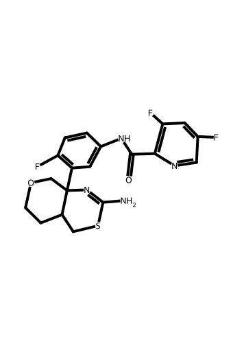 NC1=NC2(c3cc(NC(=O)c4ncc(F)cc4F)ccc3F)COCCC2CS1